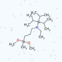 CCN(CCC[Si](C)(OC)OC)[Si](C(C)C)(C(C)C)C(C)C